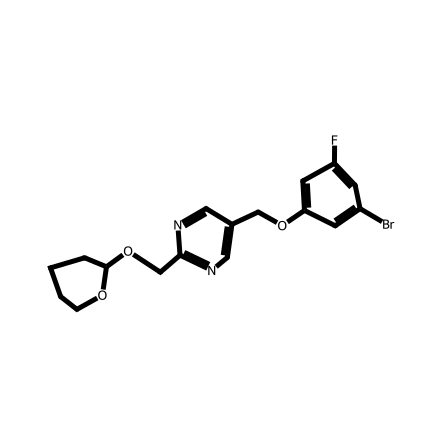 Fc1cc(Br)cc(OCc2cnc(COC3CCCCO3)nc2)c1